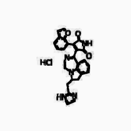 Cl.O=C1NC(=O)C(c2cccc3ccoc23)=C1C1=NC=CN2c3c(cccc31)CC2Cc1ncc[nH]1